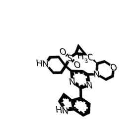 C[C@H]1COCCN1c1cc(C2(S(=O)(=O)C3CC3)CCNCC2)nc(-c2cccc3[nH]ccc23)n1